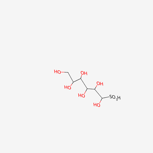 O=S(=O)(O)C(O)C(O)C(O)C(O)C(O)CO